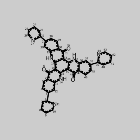 O=c1c2ccc(-c3ccccn3)cc2[nH]c2c1c1[nH]c3cc(-c4ccccn4)ccc3c(=O)c1c1[nH]c3cc(-c4ccccn4)ccc3c(=O)c21